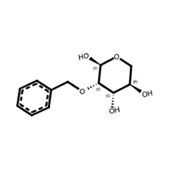 O[C@@H]1[C@H](OCc2ccccc2)[C@@H](O)OC[C@H]1O